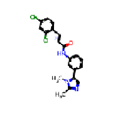 Cc1ncc(-c2cccc(NC(=O)/C=C/c3ccc(Cl)cc3Cl)c2)n1C